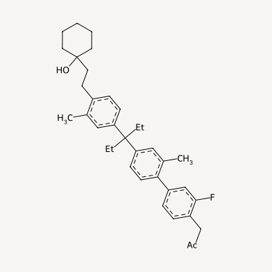 CCC(CC)(c1ccc(CCC2(O)CCCCC2)c(C)c1)c1ccc(-c2ccc(CC(C)=O)c(F)c2)c(C)c1